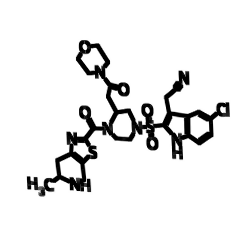 CC1Cc2nc(C(=O)N3CCN(S(=O)(=O)c4[nH]c5ccc(Cl)cc5c4CC#N)CC3CC(=O)N3CCOCC3)sc2CN1